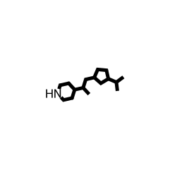 CC(C)C1CCC(CC(C)C2CCNCC2)C1